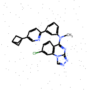 CN(c1cccc(-c2ccc(C34CC(C3)C4)cn2)c1)c1nc2nncn2c2cc(Cl)ccc12